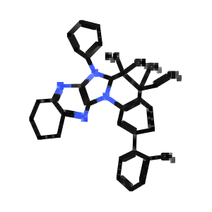 C=CC1(C)c2ccc(-c3ccccc3C)cc2N2c3nc4c(nc3N(c3ccccc3)C2C1(C)C)CCCC4